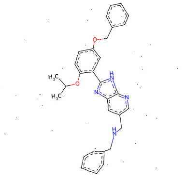 CC(C)Oc1ccc(OCc2ccccc2)cc1-c1nc2cc(CNCc3ccccc3)cnc2[nH]1